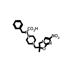 CC1(CN2CCN(N(Cc3ccccc3)C(=O)O)CC2)Cn2cc([N+](=O)[O-])nc2O1